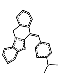 CN(C)c1ccc(C=C2c3ccccc3C[n+]3c2sc2ccccc23)cc1